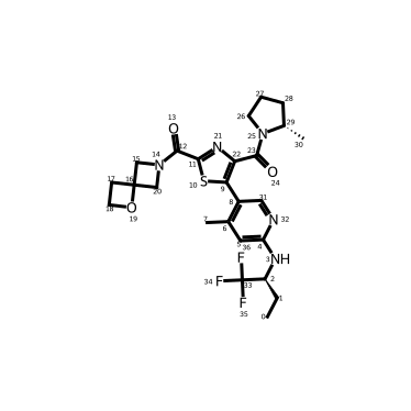 CC[C@H](Nc1cc(C)c(-c2sc(C(=O)N3CC4(CCO4)C3)nc2C(=O)N2CCC[C@@H]2C)cn1)C(F)(F)F